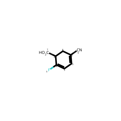 N#CC1=CC=C(F)C(C(=O)O)C1